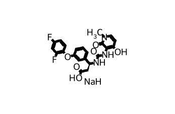 Cn1ccc(O)c(NC(=O)N[C@@H](CC(=O)O)c2cccc(Oc3ccc(F)cc3F)c2)c1=O.[NaH]